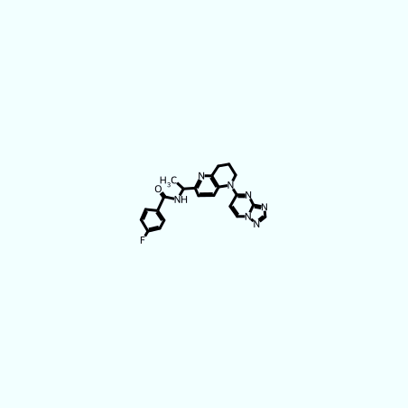 CC(NC(=O)c1ccc(F)cc1)c1ccc2c(n1)CCCN2c1ccn2ncnc2n1